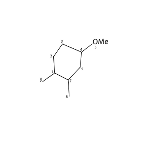 [CH2]C1CCC(OC)CC1C